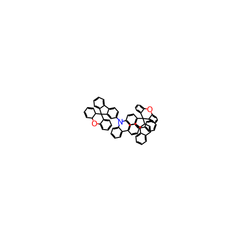 C1=CC2Oc3ccccc3C3(c4ccccc4-c4ccc(N(c5ccc6c(c5)C5c7ccccc7C=CC5C65c6ccccc6Oc6ccccc65)c5ccccc5-c5ccc(-c6ccccc6)cc5)cc43)C2C=C1